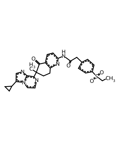 CCS(=O)(=O)c1ccc(CC(=O)Nc2ccc3c(n2)CCC(C)(c2nccn4c(C5CC5)cnc24)C3=O)cc1